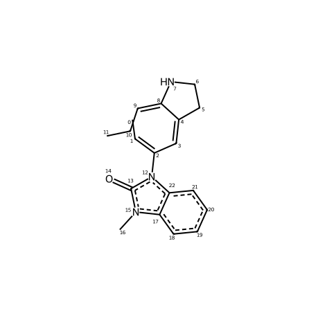 C\C=C(/C=C1/CCN/C1=C/CC)n1c(=O)n(C)c2ccccc21